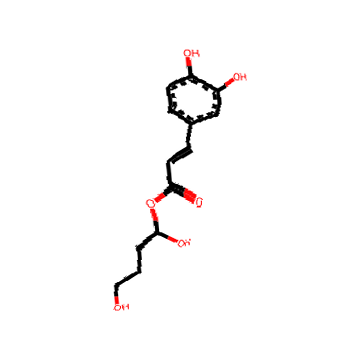 O=C(C=Cc1ccc(O)c(O)c1)OC(O)CCCO